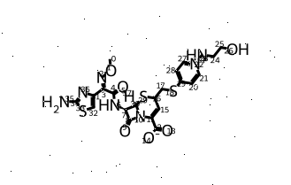 CO/N=C(\C(=O)N[C@@H]1C(=O)N2C(C(=O)[O-])=CC(CSc3cc[n+](NCCO)cc3)S[C@H]12)c1csc(N)n1